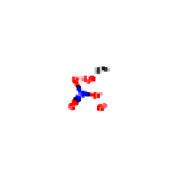 O.O=[N+]([O-])[O-].[Bi+3].[O-2]